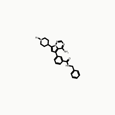 CC(=O)N1CCC(c2cc(-c3cccc(C(=O)NCc4ccccc4)c3)c3c(N)ncnn23)CC1